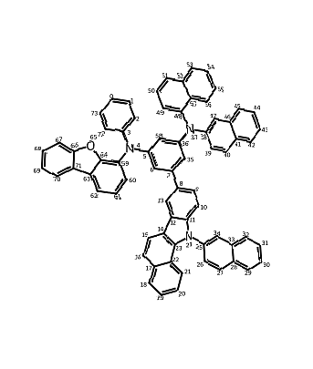 c1ccc(N(c2cc(-c3ccc4c(c3)c3ccc5ccccc5c3n4-c3ccc4ccccc4c3)cc(N(c3ccc4ccccc4c3)c3cccc4ccccc34)c2)c2cccc3c2oc2ccccc23)cc1